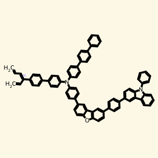 C=C/C=C(\C=C)c1ccc(-c2ccc(N(c3ccc(-c4ccc(-c5ccccc5)cc4)cc3)c3ccc(-c4ccc5oc6ccc(-c7ccc(-c8ccc9c(c8)c8ccccc8n9-c8ccccc8)cc7)cc6c5c4)cc3)cc2)cc1